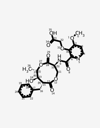 COc1ccnc(C(=O)N[C@H]2COC(=O)[C@H](Cc3ccccc3)[C@@H](O)[C@H](C)OC2=O)c1OCC(=O)O